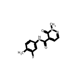 Cc1ccc(NC(=O)c2ccnn(C)c2=O)cc1F